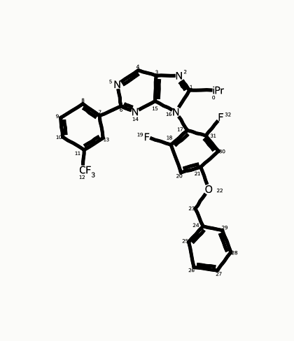 CC(C)c1nc2cnc(-c3cccc(C(F)(F)F)c3)nc2n1-c1c(F)cc(OCc2ccccc2)cc1F